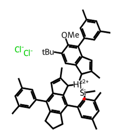 COc1c(C(C)(C)C)cc2c(c1-c1cc(C)cc(C)c1)C=C(C)[CH]2[Hf+2]([CH]1C(C)=Cc2c(-c3cc(C)cc(C)c3)c3c(c(-c4cc(C)cc(C)c4)c21)CCC3)=[Si](C)C.[Cl-].[Cl-]